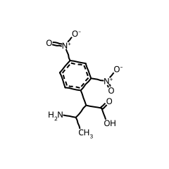 CC(N)C(C(=O)O)c1ccc([N+](=O)[O-])cc1[N+](=O)[O-]